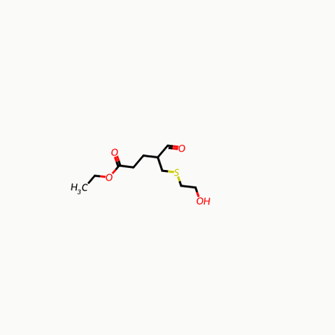 CCOC(=O)CCC(C=O)CSCCO